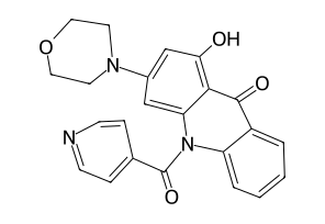 O=C(c1ccncc1)n1c2ccccc2c(=O)c2c(O)cc(N3CCOCC3)cc21